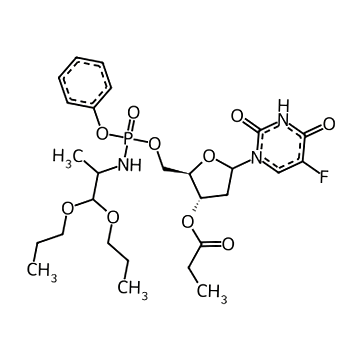 CCCOC(OCCC)C(C)NP(=O)(OC[C@H]1OC(n2cc(F)c(=O)[nH]c2=O)C[C@@H]1OC(=O)CC)Oc1ccccc1